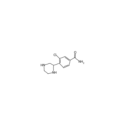 NC(=O)c1ccc(C2CNCCN2)c(Cl)c1